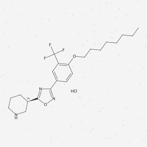 CCCCCCCCOc1ccc(-c2noc([C@@H]3CCCNC3)n2)cc1C(F)(F)F.Cl